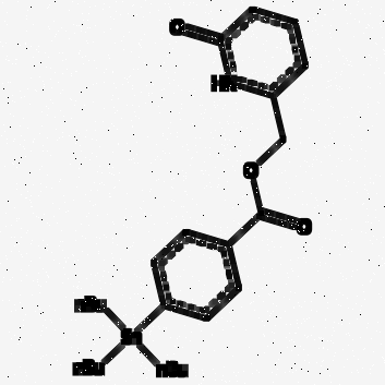 CCC[CH2][Sn]([CH2]CCC)([CH2]CCC)[c]1ccc(C(=O)OCc2cccc(=O)[nH]2)cc1